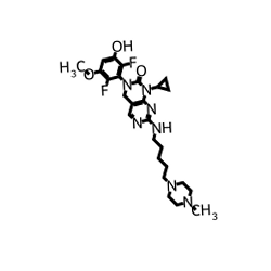 COc1cc(O)c(F)c(N2Cc3cnc(NCCCCCN4CCN(C)CC4)nc3N(C3CC3)C2=O)c1F